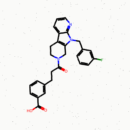 O=C(O)c1cccc(CCC(=O)N2CCc3c(n(Cc4cccc(F)c4)c4ncccc34)C2)c1